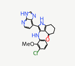 COc1c(Cl)cccc1Nc1c(-c2ccnc3[nH]cnc23)[nH]c2c1C(=O)CCC2